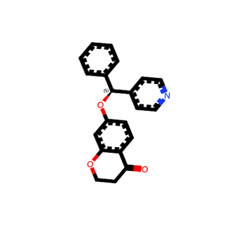 O=C1CCOc2cc(O[C@@H](c3ccccc3)c3ccncc3)ccc21